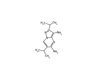 CC(C)c1cn2nc(C(C)C)c(N)c2nc1N